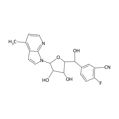 Cc1ccnc2c1ccn2C1OC(C(O)c2ccc(F)c(C#N)c2)C(O)C1O